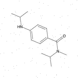 CC(C)Nc1ccc(C(=O)N(C)C(C)C)cc1